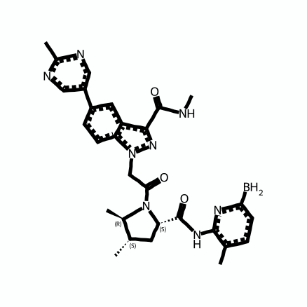 Bc1ccc(C)c(NC(=O)[C@@H]2C[C@H](C)[C@@H](C)N2C(=O)Cn2nc(C(=O)NC)c3cc(-c4cnc(C)nc4)ccc32)n1